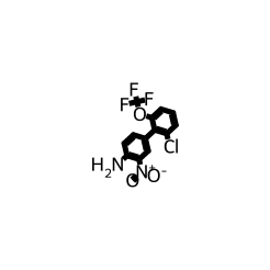 Nc1ccc(-c2c(Cl)cccc2OC(F)(F)F)cc1[N+](=O)[O-]